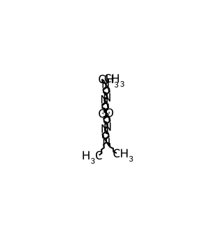 CCCCCN(CCCCC)c1ccc(N=Nc2ccc(S(=O)(=O)c3ccc(N=Nc4ccc(N(CC)CC)cc4)cc3)cc2)cc1